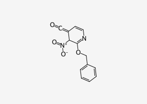 O=C=C1C=CN=C(OCc2ccccc2)C1[N+](=O)[O-]